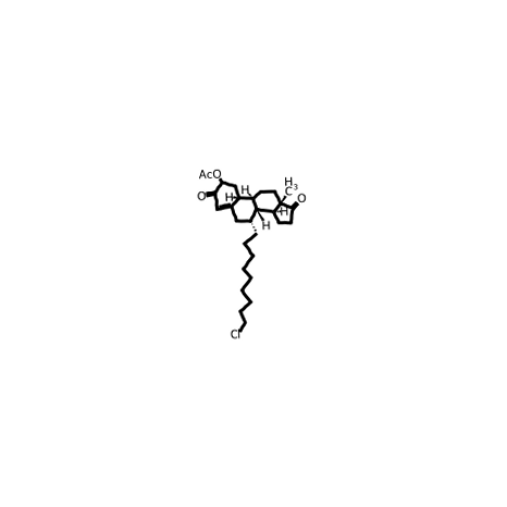 CC(=O)OC1C[C@H]2C(=CC1=O)C[C@@H](CCCCCCCCCCl)[C@@H]1[C@@H]2CC[C@]2(C)C(=O)CC[C@@H]12